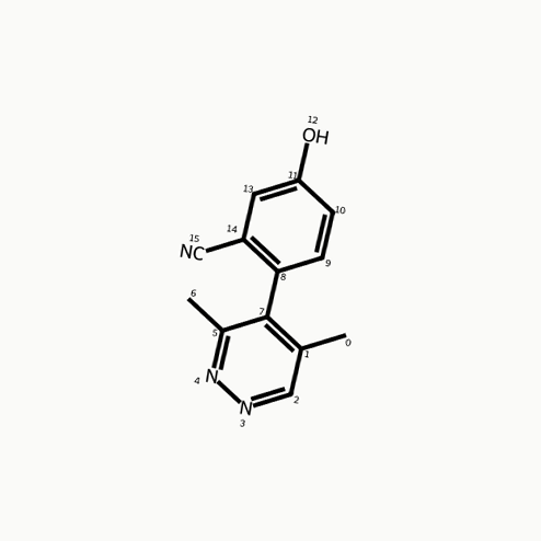 Cc1cnnc(C)c1-c1ccc(O)cc1C#N